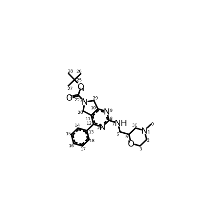 CN1CCOC(CNc2nc3c(c(-c4ccccc4)n2)CN(C(=O)OC(C)(C)C)C3)C1